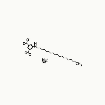 CCCCCCCCCCCCCCCCCCCNc1cc(C(=O)[O-])cc(C(=O)[O-])c1.[Na+].[Na+]